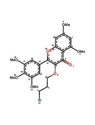 COc1cc(OC)c2c(=O)c(OCCCBr)c(-c3cc(OC)c(OC)c(OC)c3)oc2c1